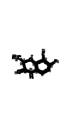 C[C@H]1Oc2c(ccc(F)c2F)NC1=O